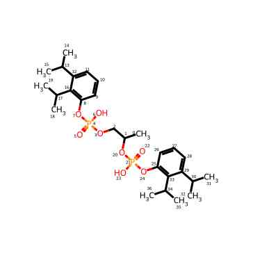 CC(COP(=O)(O)Oc1cccc(C(C)C)c1C(C)C)OP(=O)(O)Oc1cccc(C(C)C)c1C(C)C